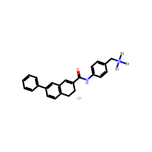 CC[N+](CC)(CC)Cc1ccc(NC(=O)C2=Cc3cc(-c4ccccc4)ccc3CC2)cc1.[Cl-]